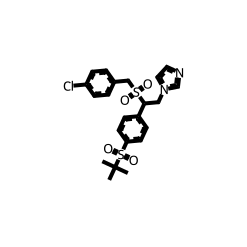 CC(C)(C)S(=O)(=O)c1ccc(C(Cn2ccnc2)S(=O)(=O)Cc2ccc(Cl)cc2)cc1